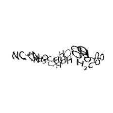 Cc1oc(=O)oc1COC(=O)O[C@]1(C)CC[C@H]2[C@H](CC[C@@H]3[C@@H]2CC[C@]2(C)[C@@H](C(=O)Cn4cc(C#N)cn4)CC[C@@H]32)C1